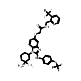 CC1(C)CCCC(n2c(Nc3ccc(OC(F)(F)F)cc3)nc3cc(OCC(=O)NCc4ncccc4C(F)(F)F)ccc32)C1